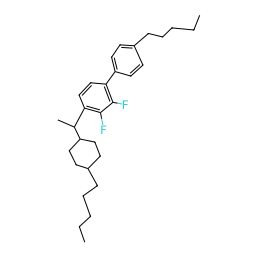 CCCCCc1ccc(-c2ccc(C(C)C3CCC(CCCCC)CC3)c(F)c2F)cc1